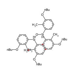 CCCCOc1cccc([SiH](O[SiH](c2cccc(OCCCC)c2C)c2cccc(OCCCC)c2C)c2cccc(OCCCC)c2C)c1C